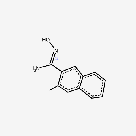 Cc1cc2ccccc2cc1/C(N)=N/O